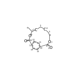 CC1CCCCCOC(=O)c2ccc(cc2)C(=O)O1